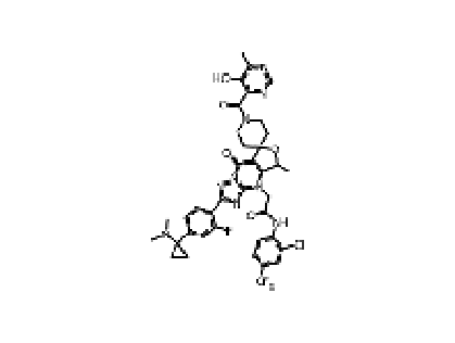 Cc1ncnc(C(=O)N2CCC3(CC2)OC(C)c2c3c(=O)n3nc(-c4ccc(C5(N(C)C)CC5)cc4F)nc3n2CC(=O)Nc2ccc(C(F)(F)F)cc2Cl)c1O